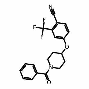 N#Cc1ccc(OC2CCN(C(=O)c3ccccc3)CC2)cc1C(F)(F)F